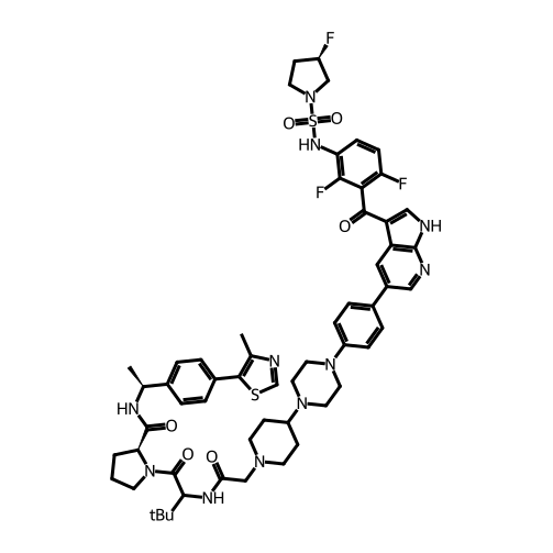 Cc1ncsc1-c1ccc([C@H](C)NC(=O)[C@@H]2CCCN2C(=O)C(NC(=O)CN2CCC(N3CCN(c4ccc(-c5cnc6[nH]cc(C(=O)c7c(F)ccc(NS(=O)(=O)N8CC[C@@H](F)C8)c7F)c6c5)cc4)CC3)CC2)C(C)(C)C)cc1